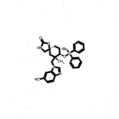 CC(C)(C)[Si](O[C@@H]1CC[C@@]2(CNC(=O)O2)C[C@@]1(C)Cn1cnc2ccc(C#N)cc21)(c1ccccc1)c1ccccc1